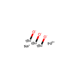 CC(C)(C)[O-].CC(C)(C)[O-].CC(C)(C)[O-].[Na+].[Pd+2]